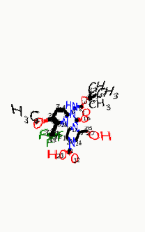 COc1ccc(N(NC(=O)OC(C)(C)C)C(=O)N2CCN(C(=O)O)CC2CO)nc1C(F)(F)F